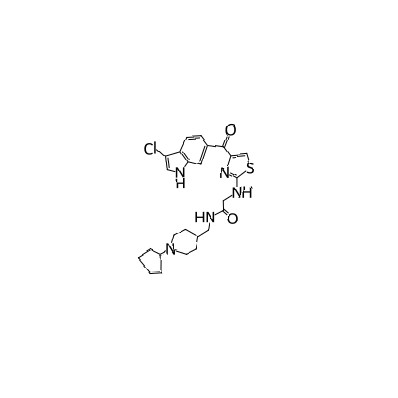 O=C(CNc1nc(C(=O)c2ccc3c(Cl)c[nH]c3c2)cs1)NCC1CCN(C2CCCC2)CC1